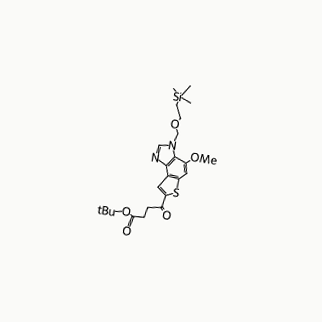 COc1cc2sc(C(=O)CCC(=O)OC(C)(C)C)cc2c2ncn(COCC[Si](C)(C)C)c12